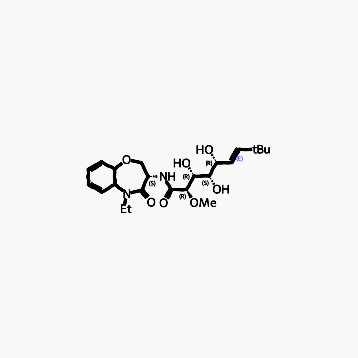 CCN1C(=O)[C@@H](NC(=O)[C@H](OC)[C@H](O)[C@@H](O)[C@H](O)/C=C/C(C)(C)C)COC2C=CC=CC21